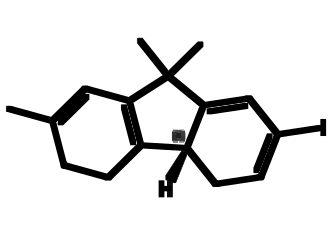 CC1=CC2=C(CC1)[C@H]1CC=C(I)C=C1C2(C)C